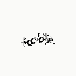 CCOC(=O)Nc1ccc(N2CCc3cc(C(F)(F)F)ccc3C2)c(F)c1N